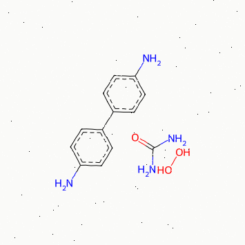 NC(N)=O.Nc1ccc(-c2ccc(N)cc2)cc1.OO